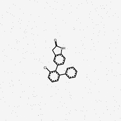 O=C1Cc2cc(-c3c(Cl)cccc3-c3ccccc3)ccc2N1